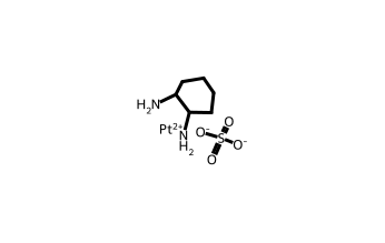 NC1CCCCC1N.O=S(=O)([O-])[O-].[Pt+2]